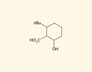 CCCCC1CCCC(O)C1C(=O)O